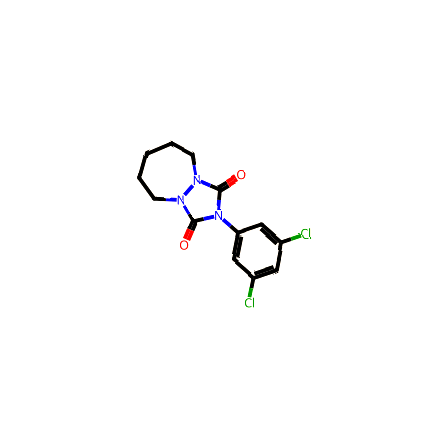 O=c1n(-c2cc(Cl)cc(Cl)c2)c(=O)n2n1CCCCC2